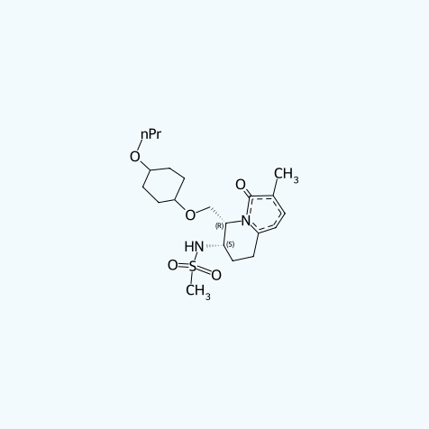 CCCOC1CCC(OC[C@H]2[C@@H](NS(C)(=O)=O)CCc3ccc(C)c(=O)n32)CC1